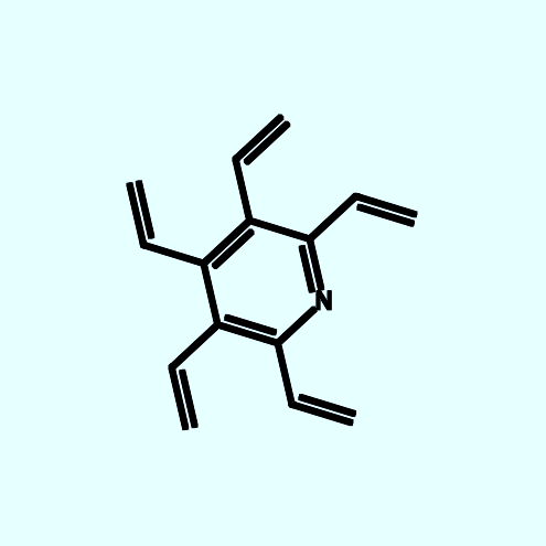 C=Cc1nc(C=C)c(C=C)c(C=C)c1C=C